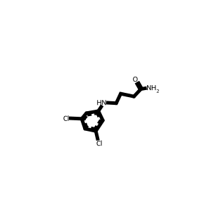 NC(=O)CCCNc1cc(Cl)cc(Cl)c1